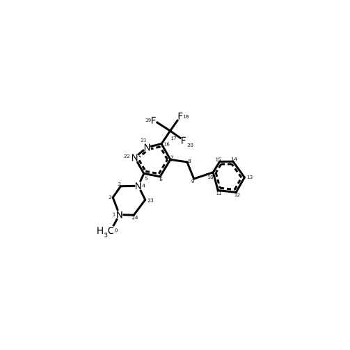 CN1CCN(c2cc(CCc3ccccc3)c(C(F)(F)F)nn2)CC1